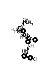 CN(C)CCNc1ccc(S(=O)(=O)NC(=O)c2ccc(NCCNCc3ccccc3-c3ccc(Cl)cc3)cc2Oc2ccccc2)cc1[N+](C)([O-])O